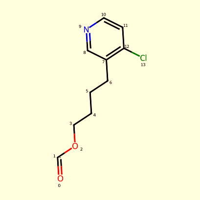 O=[C]OCCCCc1cnccc1Cl